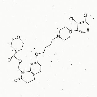 O=C(OCN1C(=O)CCc2ccc(OCCCCN3CCN(c4cccc(Cl)c4Cl)CC3)cc21)N1CCOCC1